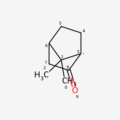 CC1(C)[C]2CCC1CC2=O